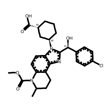 COC(=O)N1c2ccc3c(nc([C@@H](O)c4ccc(Cl)cc4)n3[C@@H]3CCC[C@@H](C(=O)O)C3)c2CCC1C